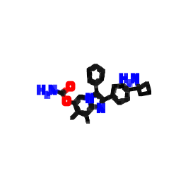 Cc1c(OC(N)=O)cn2c(-c3ccccc3)c(-c3ccc(C4(N)CCC4)cc3)nc2c1C